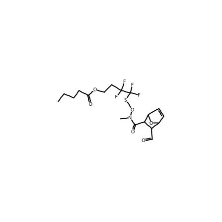 CCCCC(=O)OCCC(F)(F)C(F)(F)SON(C)C(=O)C1C2C=CC(O2)C1C=O